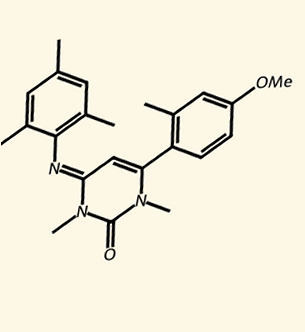 COc1ccc(-c2cc(=Nc3c(C)cc(C)cc3C)n(C)c(=O)n2C)c(C)c1